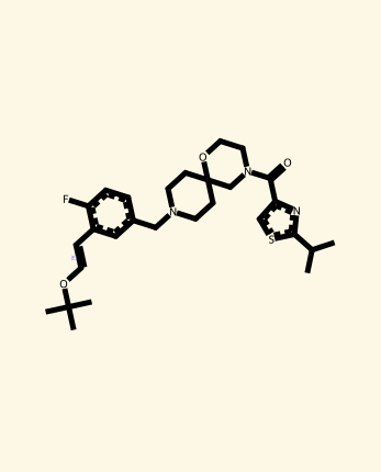 CC(C)c1nc(C(=O)N2CCOC3(CCN(Cc4ccc(F)c(/C=C/OC(C)(C)C)c4)CC3)C2)cs1